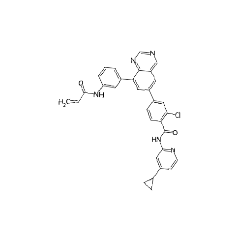 C=CC(=O)Nc1cccc(-c2cc(-c3ccc(C(=O)Nc4cc(C5CC5)ccn4)c(Cl)c3)cc3cncnc23)c1